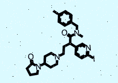 Cc1ccc(CN(C)C(=O)C(CCN2CCC(N3CCCC3=O)CC2)c2ccc(I)nc2)cc1